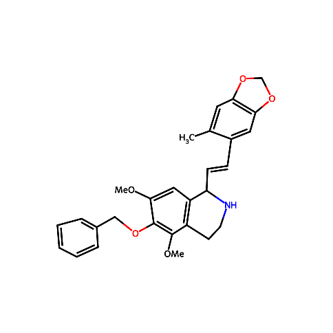 COc1cc2c(c(OC)c1OCc1ccccc1)CCNC2/C=C/c1cc2c(cc1C)OCO2